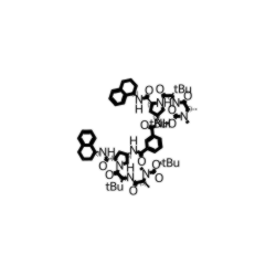 C[C@@H](C(=O)N[C@H](C(=O)N1C[C@@H](NC(=O)c2cccc(C(=O)N[C@H]3C[C@@H](C(=O)N[C@@H]4CCCc5ccccc54)N(C(=O)[C@@H](NC(=O)[C@H](C)N(C)C(=O)OC(C)(C)C)C(C)(C)C)C3)c2)C[C@H]1C(=O)N[C@@H]1CCCc2ccccc21)C(C)(C)C)N(C)C(=O)OC(C)(C)C